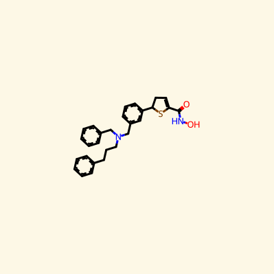 O=C(NO)C1=CCC(c2cccc(CN(CCCc3ccccc3)Cc3ccccc3)c2)S1